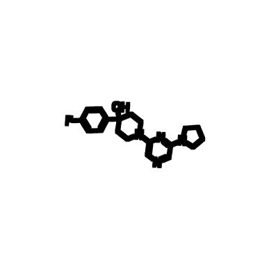 OC1(c2ccc(F)cc2)CCN(c2cncc(N3CCCC3)n2)CC1